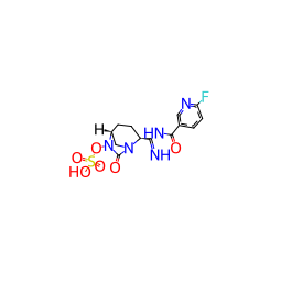 N=C(NC(=O)c1ccc(F)nc1)[C@@H]1CC[C@@H]2CN1C(=O)N2OS(=O)(=O)O